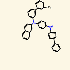 CC1C=C(c2cccc(N(c3ccc(Nc4ccc(-c5ccccc5)cc4)cc3)c3ccc4ccccc4c3)c2)C=CC1